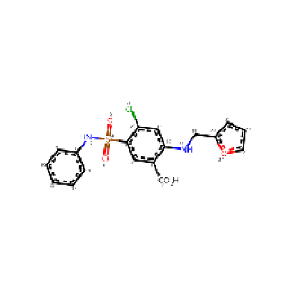 O=C(O)c1cc(S(=O)(=O)Nc2ccccc2)c(Cl)cc1NCc1ccco1